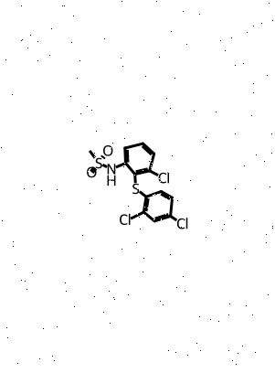 CS(=O)(=O)Nc1cccc(Cl)c1Sc1ccc(Cl)cc1Cl